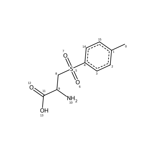 Cc1ccc(S(=O)(=O)CC(N)C(=O)O)cc1